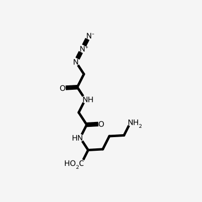 [N-]=[N+]=NCC(=O)NCC(=O)NC(CCCN)C(=O)O